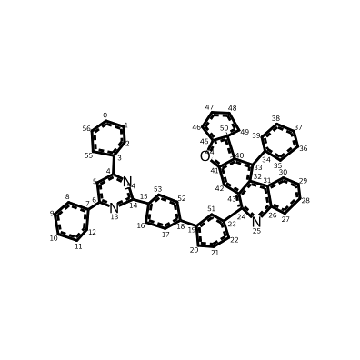 c1ccc(-c2cc(-c3ccccc3)nc(-c3ccc(-c4cccc(-c5nc6ccccc6c6c(-c7ccccc7)c7c(cc56)oc5ccccc57)c4)cc3)n2)cc1